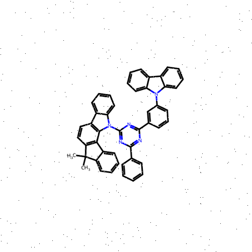 CC1(C)c2ccccc2-c2c1ccc1c3ccccc3n(-c3nc(-c4ccccc4)nc(-c4cccc(-n5c6ccccc6c6ccccc65)c4)n3)c21